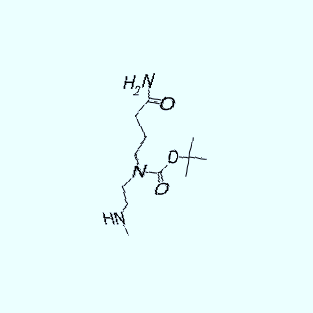 CNCCN(CCCC(N)=O)C(=O)OC(C)(C)C